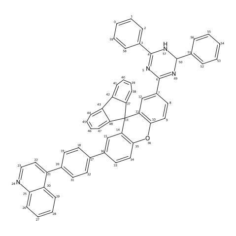 c1ccc(C2=NC(c3ccc4c(c3)C3(c5cc(-c6ccc(-c7ccnc8ccccc78)cc6)ccc5O4)c4ccccc4-c4ccccc43)=NC(c3ccccc3)N2)cc1